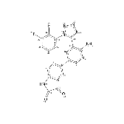 Nc1ncc(-c2ccc3c(c2)C(=O)C(=O)N3)cc1-c1nnnn1-c1cccc(F)c1F